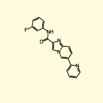 O=C(Nc1cccc(F)c1)c1cn2cc(-c3ccccn3)ccc2n1